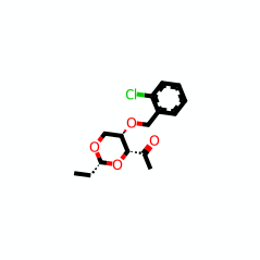 CC[C@@H]1OC[C@H](OCc2ccccc2Cl)[C@H](C(C)=O)O1